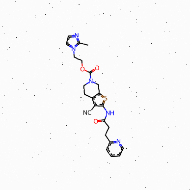 Cc1nccn1CCOC(=O)N1CCc2c(sc(NC(=O)CCc3ccccn3)c2C#N)C1